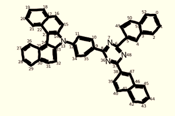 c1ccc2cc(-c3nc(-c4ccc(-n5c6ccc7ccccc7c6c6c7ccccc7ccc65)cc4)nc(-c4ccc5ccccc5c4)n3)ccc2c1